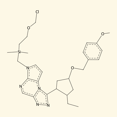 CCC1CC(OCc2ccc(OC)cc2)CC1c1nnc2cnc3c(ccn3C[Si](C)(C)CCOCCl)n12